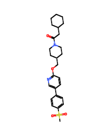 CS(=O)(=O)c1ccc(-c2ccc(OCC3CCN(C(=O)CC4CCCCC4)CC3)nc2)cc1